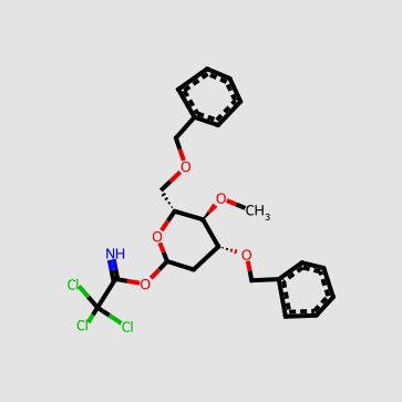 CO[C@H]1[C@H](OCc2ccccc2)CC(OC(=N)C(Cl)(Cl)Cl)O[C@@H]1COCc1ccccc1